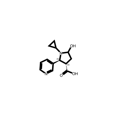 O=C(O)[C@H]1CC(O)N(C2CC2)[C@@H]1c1cccnc1